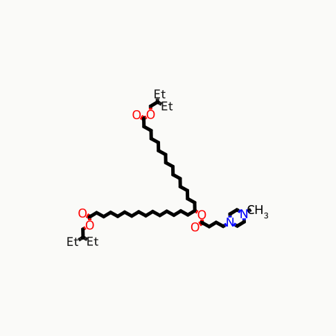 CCC(CC)COC(=O)CCCCCCCCCCCCCCC(CCCCCCCCCCCCCCC(=O)OCC(CC)CC)OC(=O)CCCN1CCN(C)CC1